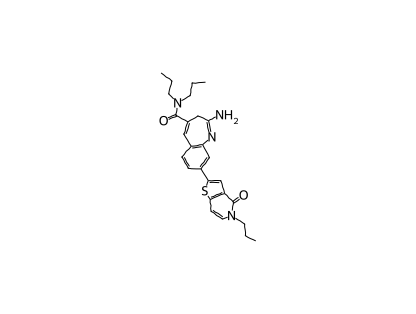 CCCN(CCC)C(=O)C1=Cc2ccc(-c3cc4c(=O)n(CCC)ccc4s3)cc2N=C(N)C1